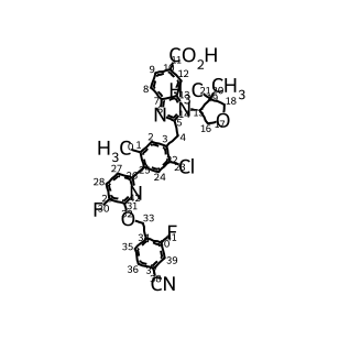 Cc1cc(Cc2nc3ccc(C(=O)O)cc3n2[C@@H]2COCC2(C)C)c(Cl)cc1-c1ccc(F)c(OCc2ccc(C#N)cc2F)n1